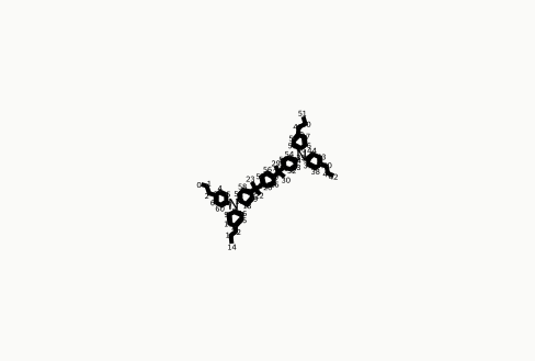 CCCc1ccc(N(c2ccc(CCC)cc2)c2ccc(C(C)(C)c3ccc(C(C)(C)c4ccc(N(c5ccc(CCC)cc5)c5ccc(CCC)cc5)cc4)cc3)cc2)cc1